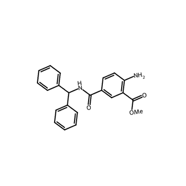 COC(=O)c1cc(C(=O)NC(c2ccccc2)c2ccccc2)ccc1N